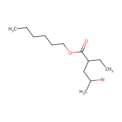 CCCCCCOC(=O)C(CC)CC(C)Br